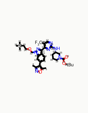 Cc1noc(C)c1-c1ccc2c(-c3nc(N[C@H]4CCCN(C(=O)OC(C)(C)C)C4)ncc3C(F)(F)F)nn(COCC[Si](C)(C)C)c2c1